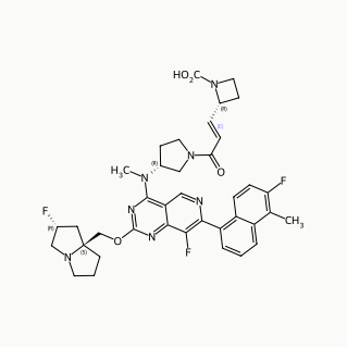 Cc1c(F)ccc2c(-c3ncc4c(N(C)[C@@H]5CCN(C(=O)/C=C/[C@H]6CCN6C(=O)O)C5)nc(OC[C@@]56CCCN5C[C@H](F)C6)nc4c3F)cccc12